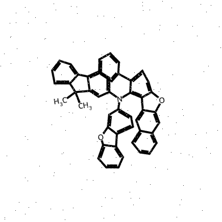 CC1(C)c2ccccc2-c2ccc(N(c3ccc4c(c3)oc3ccccc34)c3c(-c4ccccc4)ccc4oc5cc6ccccc6cc5c34)cc21